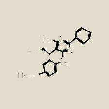 C=CCc1c(C)nc(-c2ccccc2)nc1N(C)c1ccc(C(=O)O)cc1